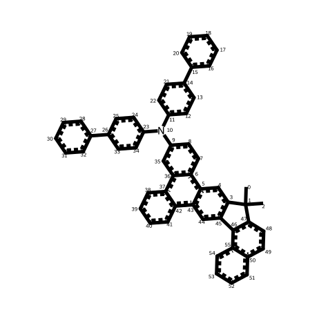 CC1(C)c2cc3c4ccc(N(c5ccc(-c6ccccc6)cc5)c5ccc(-c6ccccc6)cc5)cc4c4ccccc4c3cc2-c2c1ccc1ccccc21